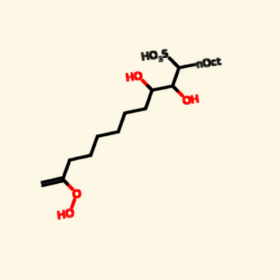 C=C(CCCCCCC(O)C(O)C(CCCCCCCC)S(=O)(=O)O)OO